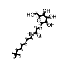 CC(C)(C)CCCSCCNC(=O)CSC1OC(CO)C(O)C(O)C1O